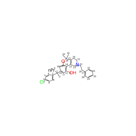 CCCC(C)(c1ccc(Cl)cc1)c1cc(O)c2c(c1)OC(C)(C)C1=C2CN(CCc2ccccc2)CC1